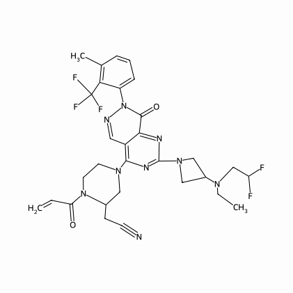 C=CC(=O)N1CCN(c2nc(N3CC(N(CC)CC(F)F)C3)nc3c(=O)n(-c4cccc(C)c4C(F)(F)F)ncc23)CC1CC#N